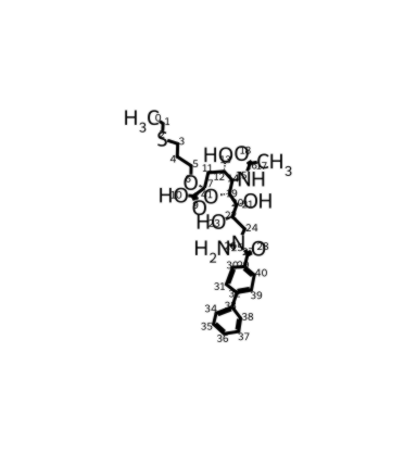 CCSCCCO[C@]1(C(=O)O)C[C@H](O)[C@@H](NC(C)=O)[C@H]([C@H](O)[C@H](O)CN(N)C(=O)c2ccc(-c3ccccc3)cc2)O1